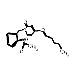 CCCCCOc1ccn(Cc2ccccc2NC(C)=O)c(=O)c1